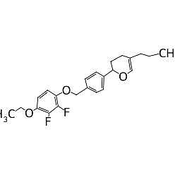 CCCC1=COC(c2ccc(COc3ccc(OCC)c(F)c3F)cc2)CC1